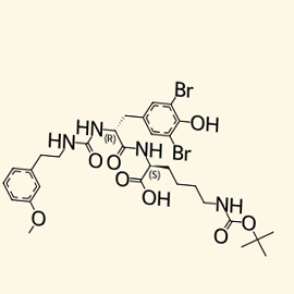 COc1cccc(CCNC(=O)N[C@H](Cc2cc(Br)c(O)c(Br)c2)C(=O)N[C@@H](CCCCNC(=O)OC(C)(C)C)C(=O)O)c1